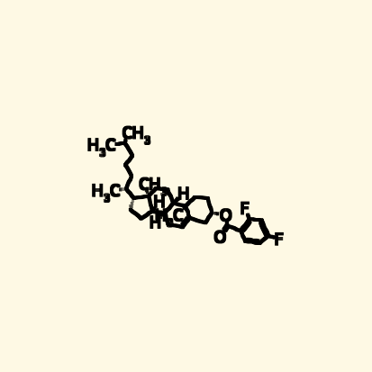 CC(C)CCC[C@@H](C)[C@H]1CC[C@H]2[C@@H]3CC=C4C[C@@H](OC(=O)c5ccc(F)cc5F)CC[C@]4(C)[C@H]3CC[C@]12C